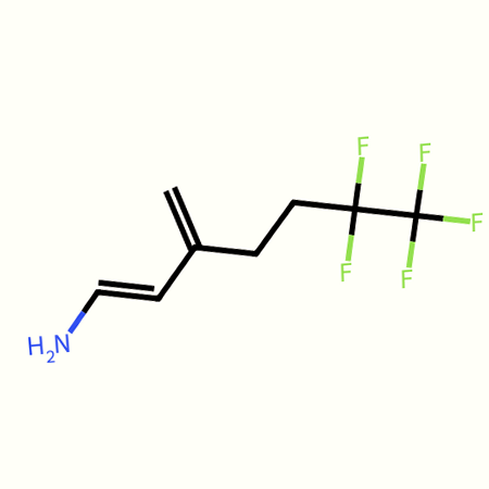 C=C(/C=C/N)CCC(F)(F)C(F)(F)F